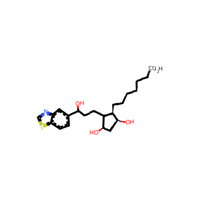 O=C(O)CCCCCC[C@@H]1C(CCC(O)c2ccc3scnc3c2)[C@H](O)C[C@@H]1O